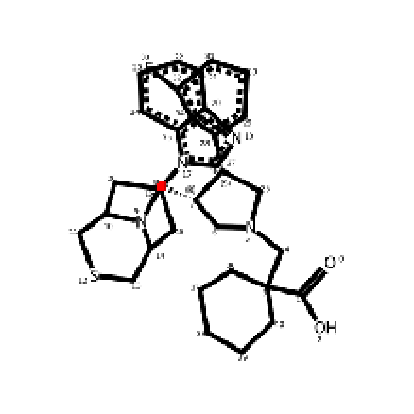 O=C(O)C1(CN2C[C@H](CN3C4CSCC3CC(n3cnc5ccccc53)C4)[C@@H](c3cccc(F)c3)C2)CCCCC1